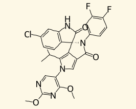 COc1ncc(-n2cc3c(c2C(C)C)[C@@]2(C(=O)Nc4cc(Cl)ccc42)N(c2ccc(F)c(F)c2)C3=O)c(OC)n1